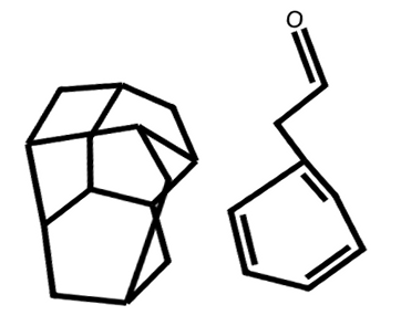 C1C2CC3C4CC5CC(C14)C(C2)C3C5.O=CCc1ccccc1